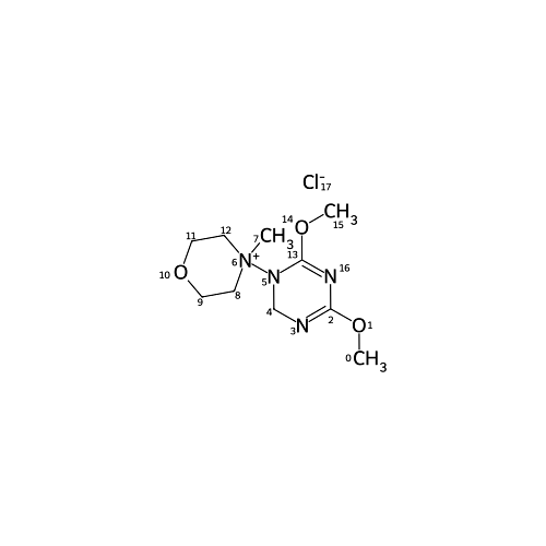 COC1=NCN([N+]2(C)CCOCC2)C(OC)=N1.[Cl-]